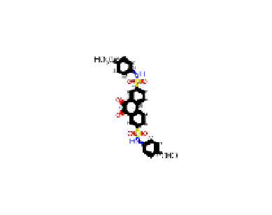 O=Cc1ccc(NS(=O)(=O)c2ccc3c(c2)C(=O)C(=O)c2cc(S(=O)(=O)Nc4ccc(C(=O)O)cc4)ccc2-3)cc1